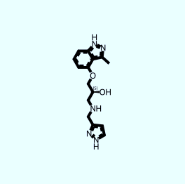 Cc1n[nH]c2cccc(OC[C@@H](O)CNCc3cc[nH]n3)c12